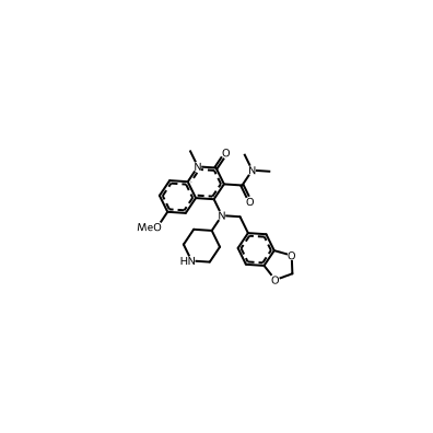 COc1ccc2c(c1)c(N(Cc1ccc3c(c1)OCO3)C1CCNCC1)c(C(=O)N(C)C)c(=O)n2C